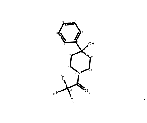 O=C(N1CCC(O)(c2ccccc2)CC1)C(F)(F)F